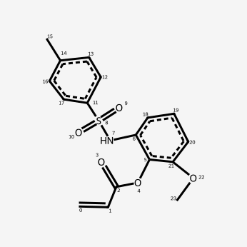 C=CC(=O)Oc1c(NS(=O)(=O)c2ccc(C)cc2)cccc1OC